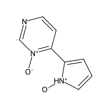 [O-][n+]1[c]nccc1C1=CC=C[NH+]1[O-]